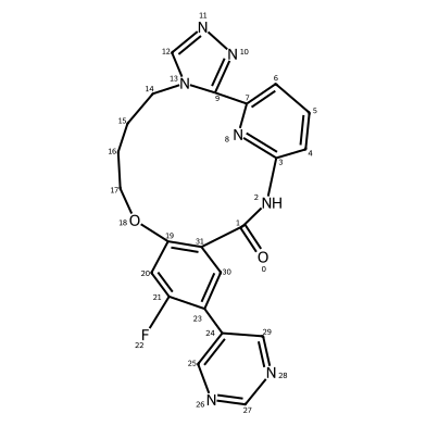 O=C1Nc2cccc(n2)-c2nncn2CCCCOc2cc(F)c(-c3cncnc3)cc21